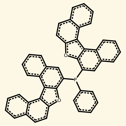 c1ccc(P(c2cc3ccccc3c3c2oc2ccc4ccccc4c23)c2cc3ccccc3c3c2oc2ccc4ccccc4c23)cc1